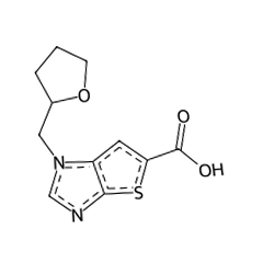 O=C(O)c1cc2c(ncn2CC2CCCO2)s1